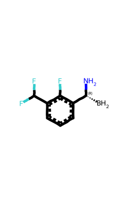 B[C@@H](N)c1cccc(C(F)F)c1F